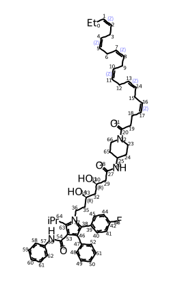 CC/C=C\C/C=C\C/C=C\C/C=C\C/C=C\C/C=C\CCC(=O)N1CCC(NC(=O)C[C@H](O)C[C@H](O)CCn2c(-c3ccc(F)cc3)c(-c3ccccc3)c(C(=O)Nc3ccccc3)c2C(C)C)CC1